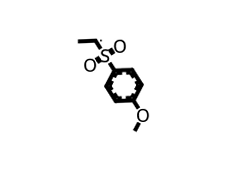 C[CH]S(=O)(=O)c1ccc(OC)cc1